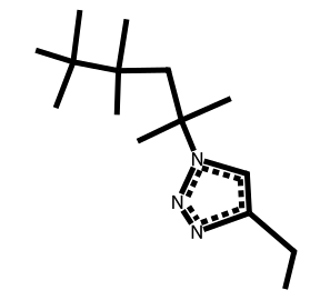 CCc1cn(C(C)(C)CC(C)(C)C(C)(C)C)nn1